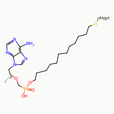 CCCCCCCSCCCCCCCCCCCCOP(=O)(O)CO[C@H](C)Cn1cnc2c(N)ncnc21